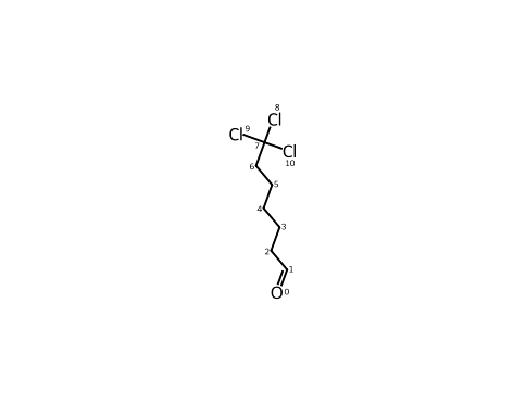 O=CCCCCCC(Cl)(Cl)Cl